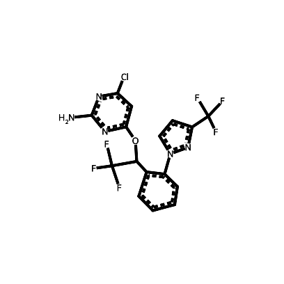 Nc1nc(Cl)cc(OC(c2ccccc2-n2ccc(C(F)(F)F)n2)C(F)(F)F)n1